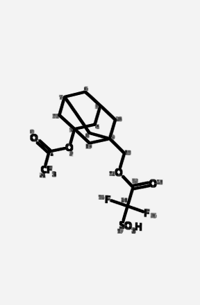 O=C(OC12CC3CC(CC(COC(=O)C(F)(F)S(=O)(=O)O)(C3)C1)C2)C(F)(F)F